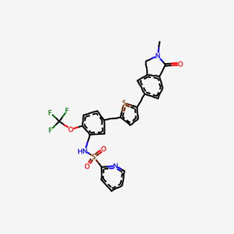 CN1Cc2cc(-c3ccc(-c4ccc(OC(F)(F)F)c(NS(=O)(=O)c5ccccn5)c4)s3)ccc2C1=O